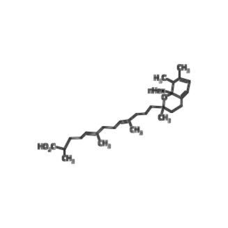 CCCCCCC12OC(C)(CCC/C(C)=C/CC/C(C)=C/CCC(C)C(=O)O)CCC1=CC=C(C)C2C